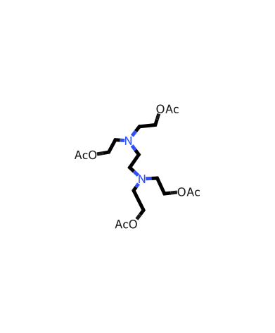 CC(=O)OCCN(CCOC(C)=O)CCN(CCOC(C)=O)CCOC(C)=O